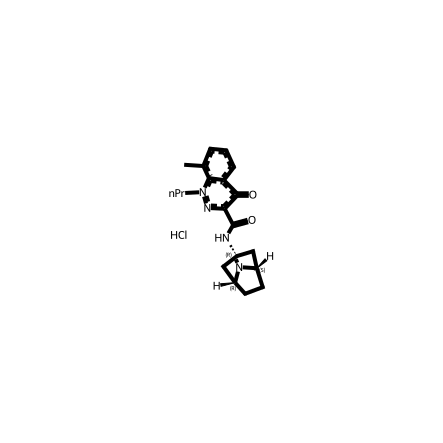 CCCn1nc(C(=O)N[C@H]2C[C@H]3CC[C@@H](C2)N3C)c(=O)c2cccc(C)c21.Cl